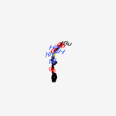 CC(=N)C\C(=C/C=C(C)/C(C)=C/SC(=N)NC(=O)CNC(=O)OC(C)(C)C)CCC(=O)OCc1ccccc1